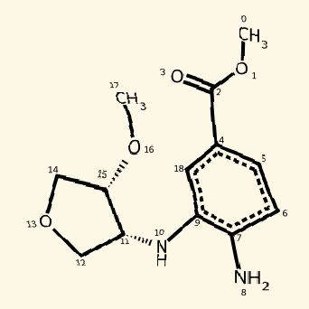 COC(=O)c1ccc(N)c(N[C@@H]2COC[C@@H]2OC)c1